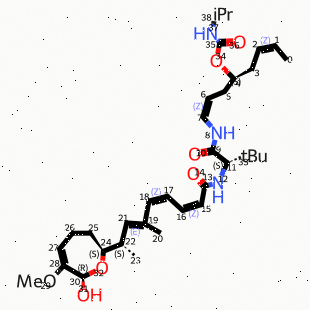 C/C=C\C[C@@H](C/C=C\NC(=O)[C@@H](NC(=O)\C=C/C=C\C(C)=C\[C@H](C)[C@@H]1CCC=C(OC)[C@H](O)O1)C(C)(C)C)OC(=O)NC(C)C